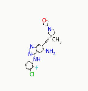 CC1(C#Cc2cc3ncnc(Nc4cccc(Cl)c4F)c3cc2N)CCN(C2COC2)C1